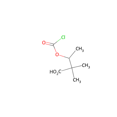 CC(OC(=O)Cl)C(C)(C)C(=O)O